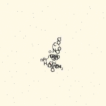 C=CCC[C@H](C[C@H](C)O[Si](c1ccccc1)(c1ccccc1)C(C)(C)C)S(=O)(=O)NC(=O)c1ccc2c(c1)N(C[C@@H]1CC[C@H]1C(O)/C=C/CCC)CCCCc1cc(Cl)ccc1CO2